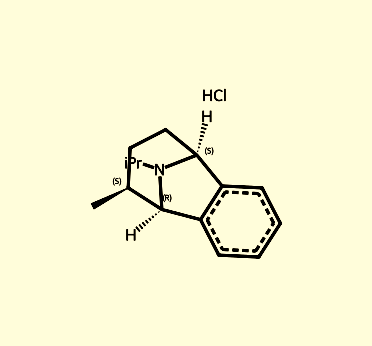 CC(C)N1[C@H]2CC[C@H](C)[C@@H]1c1ccccc12.Cl